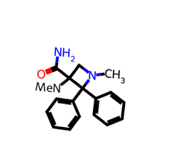 CNC1(C(N)=O)CN(C)C1(c1ccccc1)c1ccccc1